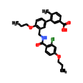 CCCOc1ccc(C(=O)NCc2cc(-c3cc(C(=O)O)ccc3C)ccc2OCCC)c(Cl)c1